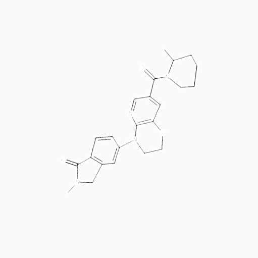 CC1CCCCN1C(=O)c1cnc2c(c1)OCCN2c1ccc2c(c1)CN(C)C2=O